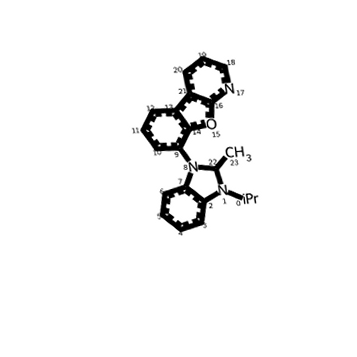 CC(C)N1c2ccccc2N(c2cccc3c2oc2ncccc23)C1C